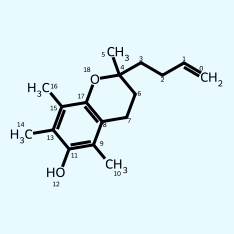 C=CCCC1(C)CCc2c(C)c(O)c(C)c(C)c2O1